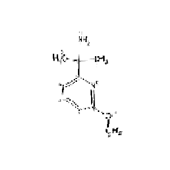 COc1cccc(C(C)(C)N)n1